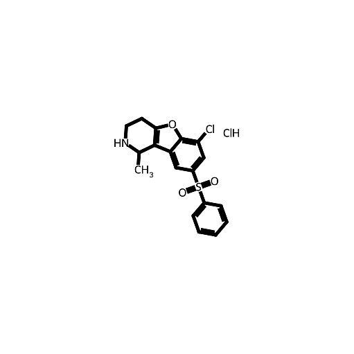 CC1NCCc2oc3c(Cl)cc(S(=O)(=O)c4ccccc4)cc3c21.Cl